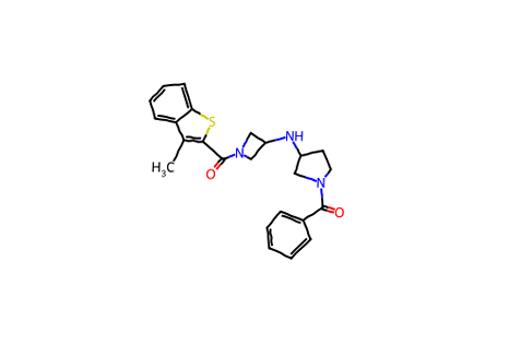 Cc1c(C(=O)N2CC(NC3CCN(C(=O)c4ccccc4)C3)C2)sc2ccccc12